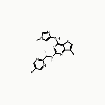 Cc1csc2c(Nc3cn(C)cn3)nc(N[C@@H](C)c3ncc(F)cn3)nc12